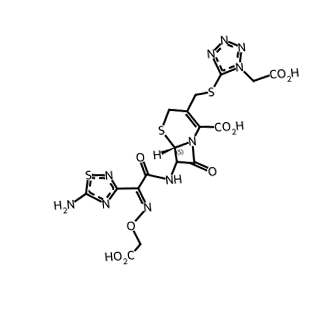 Nc1nc(C(=NOCC(=O)O)C(=O)NC2C(=O)N3C(C(=O)O)=C(CSc4nnnn4CC(=O)O)CS[C@@H]23)ns1